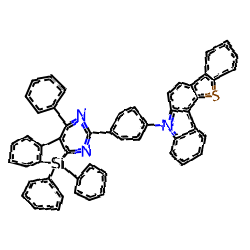 c1ccc(-c2nc(-c3ccc(-n4c5ccccc5c5c6sc7ccccc7c6ccc54)cc3)nc3c2-c2ccccc2[Si]3(c2ccccc2)c2ccccc2)cc1